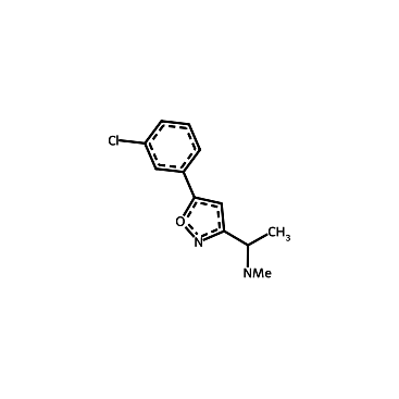 CNC(C)c1cc(-c2cccc(Cl)c2)on1